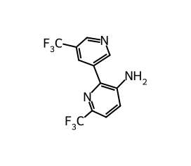 Nc1ccc(C(F)(F)F)nc1-c1cncc(C(F)(F)F)c1